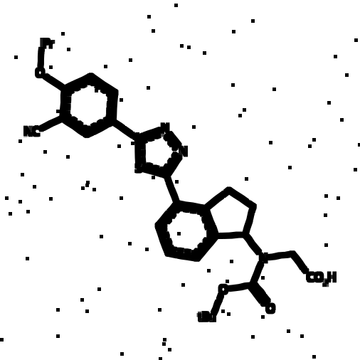 CC(C)Oc1ccc(-c2nnc(-c3cccc4c3CCC4N(CC(=O)O)C(=O)OC(C)(C)C)s2)cc1C#N